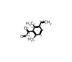 C=Cc1ccc(C)c(C(=O)P=O)c1C